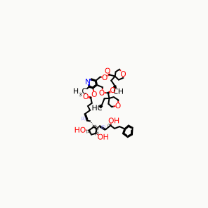 C#CCC1(C(=O)OCc2cnc(C)c(OC(=O)CCC/C=C\C[C@@H]3[C@@H](/C=C/[C@@H](O)CCc4ccccc4)[C@H](O)C[C@@H]3O)c2COC(=O)C2(CC#C)CCOCC2)CCOCC1